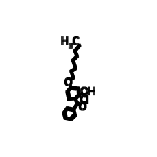 CCCCCCCCOC1=CC(O)(Cl)C(C(=O)c2ccccc2)C=C1